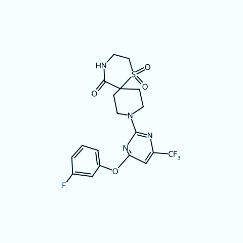 O=C1NCCS(=O)(=O)C12CCN(c1nc(Oc3cccc(F)c3)cc(C(F)(F)F)n1)CC2